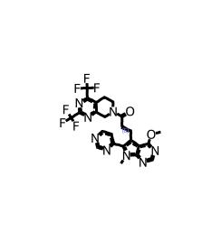 COc1ncnc2c1c(/C=C/C(=O)N1CCc3c(nc(C(F)(F)F)nc3C(F)(F)F)C1)c(-c1ccncn1)n2C